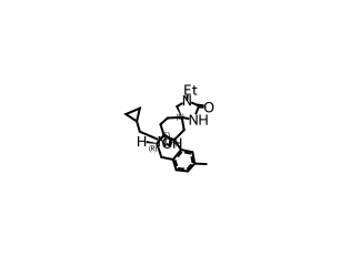 CCN1C[C@@]2(CC[C@@]3(O)[C@H]4Cc5ccc(C)cc5[C@@]3(CCN4CC3CC3)C2)NC1=O